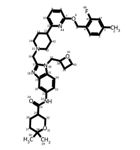 Cc1ccc(COc2cccc(C3CCN(Cc4nc5cc(NC(=O)C6CCC(C)(C)OC6)ccc5n4CC4CCO4)CC3)n2)c(F)c1